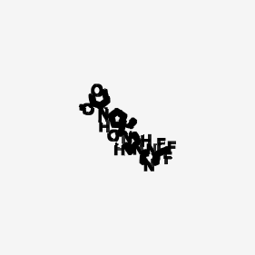 CC[C@]1(C(=O)N2C[C@@H]3C[C@H]2CN3c2cncc(C(F)(F)F)n2)CC[C@@H](N[C@H]2CCOC[C@H]2OC)C1